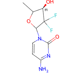 CC1OC(n2ccc(N)nc2=O)C(F)(F)[C@@H]1O